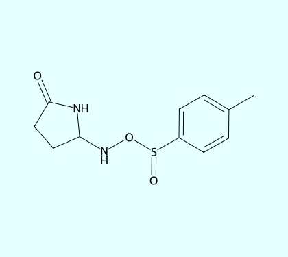 Cc1ccc(S(=O)ONC2CCC(=O)N2)cc1